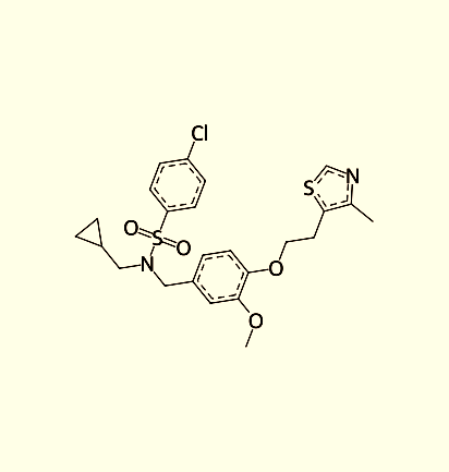 COc1cc(CN(CC2CC2)S(=O)(=O)c2ccc(Cl)cc2)ccc1OCCc1scnc1C